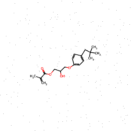 C=C(C)C(=O)OCC(O)COc1ccc(CC(C)(C)C)cc1